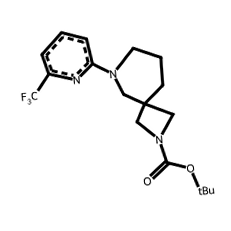 CC(C)(C)OC(=O)N1CC2(CCCN(c3cccc(C(F)(F)F)n3)C2)C1